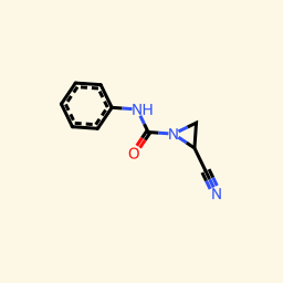 N#CC1CN1C(=O)Nc1ccccc1